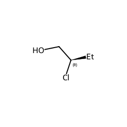 CC[C@@H](Cl)CO